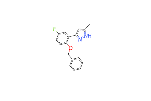 Cc1cc(-c2cc(F)ccc2OCc2ccccc2)n[nH]1